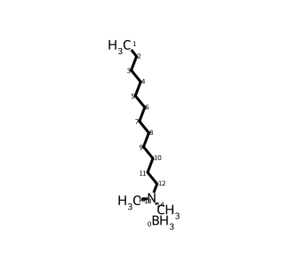 B.CCCCCCCCCCCCN(C)C